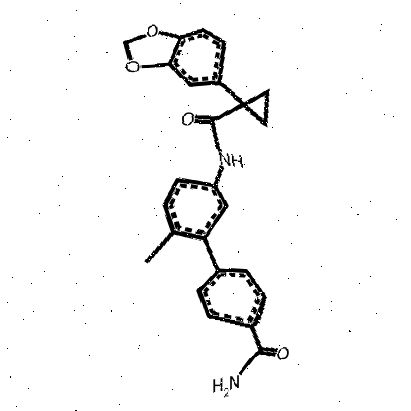 Cc1ccc(NC(=O)C2(c3ccc4c(c3)OCO4)CC2)cc1-c1ccc(C(N)=O)cc1